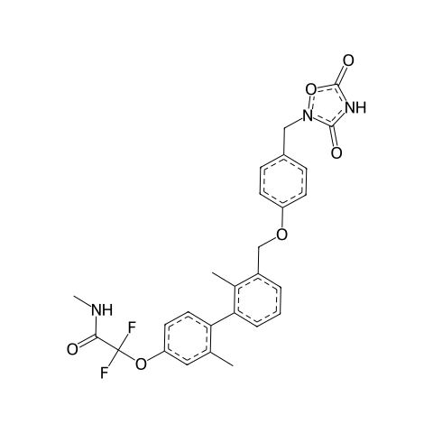 CNC(=O)C(F)(F)Oc1ccc(-c2cccc(COc3ccc(Cn4oc(=O)[nH]c4=O)cc3)c2C)c(C)c1